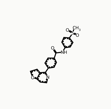 CS(=O)(=O)c1ccc(NC(=O)c2ccc(-c3nccc4occc34)cc2)cc1